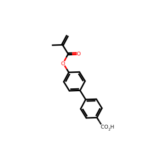 C=C(C)C(=O)Oc1ccc(-c2ccc(C(=O)O)cc2)cc1